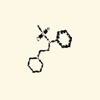 CS(=O)(=O)N(CCN1CCCCC1)c1[c]cccc1